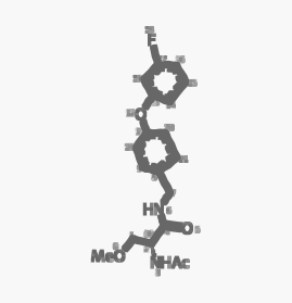 COC[C@@H](NC(C)=O)C(=O)NCc1ccc(Oc2cccc(F)c2)cc1